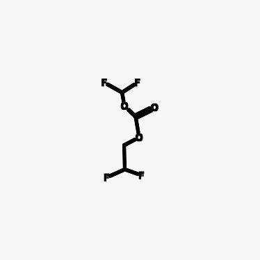 O=C(OCC(F)F)OC(F)F